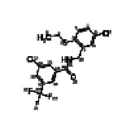 CCSc1ccc(Cl)cc1CNC(=O)c1cc(Cl)cc(C(F)(F)F)c1